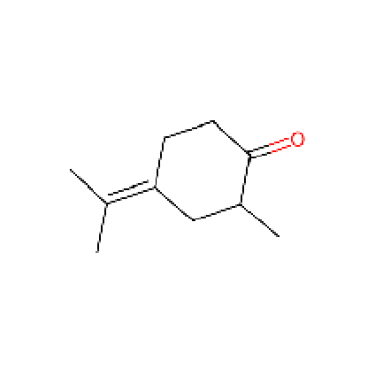 CC(C)=C1CCC(=O)C(C)C1